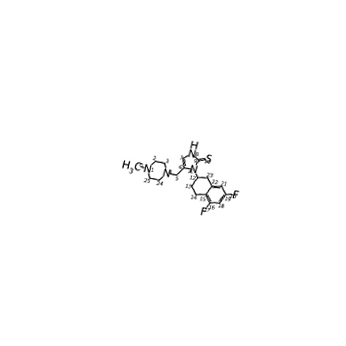 CN1CCN(Cc2c[nH]c(=S)n2C2CCc3c(F)cc(F)cc3C2)CC1